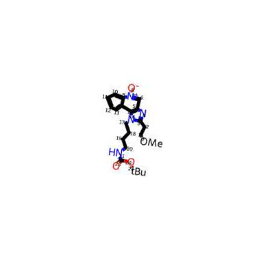 COCCc1nc2c[n+]([O-])c3ccccc3c2n1CCCCNC(=O)OC(C)(C)C